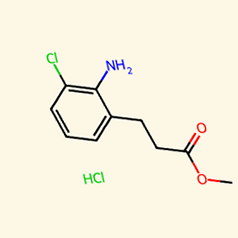 COC(=O)CCc1cccc(Cl)c1N.Cl